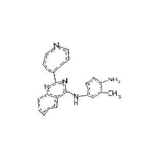 Cc1cc(Nc2nc(-c3ccncc3)nc3ccccc23)ccc1N